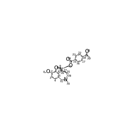 COc1ccc2c3c1OC1C[C@@H](OC(=O)c4ccc(C(C)=O)cc4)C(C)[C@@]31CCN(C)C2